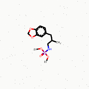 CCOP(=O)(NCC(C)Cc1ccc2c(c1)OCO2)OCC